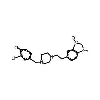 CN1C[S+]([O-])c2cc(CCN3CCN(Cc4ccc(Cl)c(Cl)c4)CC3)ccc21